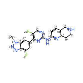 CC(C)n1nnc2c(F)cc(-c3nc(Nc4ccc5c(n4)CCNC5)ncc3F)cc21